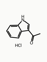 CC(=O)c1c[nH]c2ccccc12.Cl